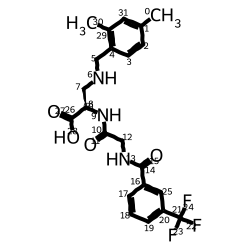 Cc1ccc(CNC[C@@H](NC(=O)CNC(=O)c2cccc(C(F)(F)F)c2)C(=O)O)c(C)c1